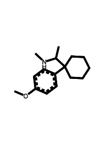 CNC(C)C1(c2ccc(OC)cc2)CCCCC1